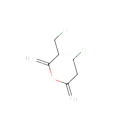 C=C(CCCl)OC(=C)CCCl